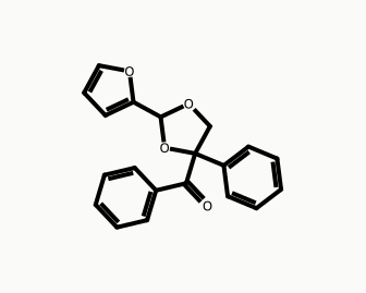 O=C(c1ccccc1)C1(c2ccccc2)COC(c2ccco2)O1